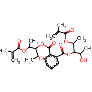 C=C(C)C(=O)OC(C)C(OC(=O)c1ccccc1C(=O)OC(C(C)O)C(C)OC(=O)C(=C)C)C(C)O